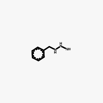 [NH]NNCc1ccccc1